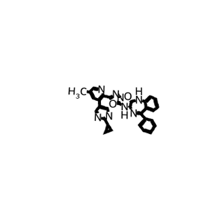 Cc1cnc(-c2nnc(N[C@H]3N=C(c4ccccc4)c4ccccc4NC3=O)o2)c(-c2cnc(C3CC3)nc2)c1